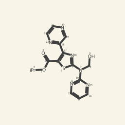 CC(C)OC(=O)c1sc(N(CO)c2ncccn2)nc1-c1cnccn1